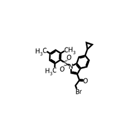 Cc1cc(C)c(S(=O)(=O)n2cc(C(=O)CBr)c3ccc(C4CC4)cc32)c(C)c1